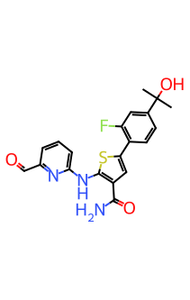 CC(C)(O)c1ccc(-c2cc(C(N)=O)c(Nc3cccc(C=O)n3)s2)c(F)c1